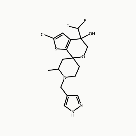 CC1CC2(CCN1Cc1cn[nH]c1)OCC(O)(C(F)F)c1cc(Cl)sc12